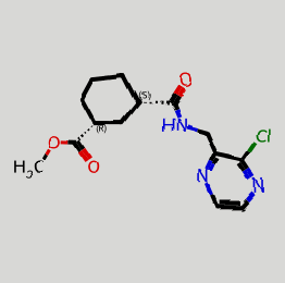 COC(=O)[C@@H]1CCC[C@H](C(=O)NCc2nccnc2Cl)C1